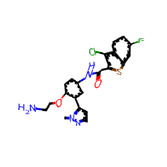 Cn1nccc1-c1cc(NC(=O)c2sc3cc(F)ccc3c2Cl)ccc1OCCN